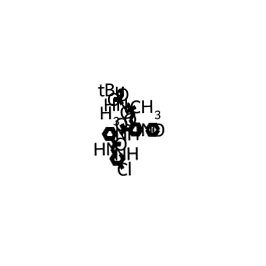 CC(C)(CNC(=O)OC(C)(C)C)COc1cc(N2CCOCC2)ccc1C(=O)Nc1ccccc1C(=O)NC1=CC=C(Cl)CN1